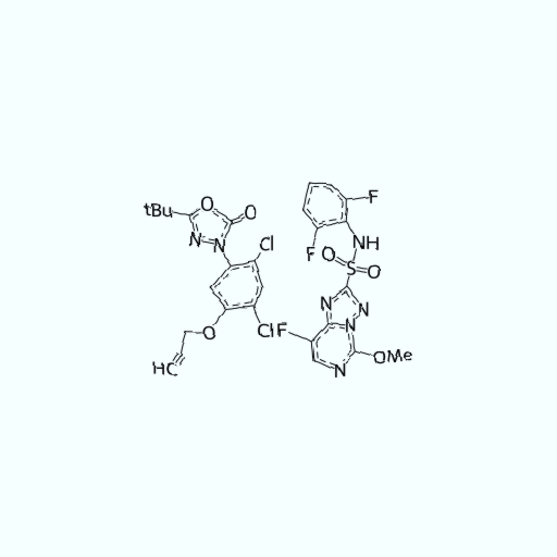 C#CCOc1cc(-n2nc(C(C)(C)C)oc2=O)c(Cl)cc1Cl.COc1ncc(F)c2nc(S(=O)(=O)Nc3c(F)cccc3F)nn12